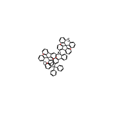 c1ccc(C2(c3ccccc3)c3ccccc3-c3ccc(-c4ccccc4N(c4ccc5c(c4)-c4ccccc4C54c5ccccc5Oc5ccccc54)c4cccc5c4-c4ccccc4C54c5ccccc5Sc5ccccc54)cc32)cc1